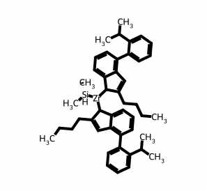 CCCCC1=Cc2c(-c3ccccc3C(C)C)cccc2[CH]1[Zr]([CH]1C(CCCC)=Cc2c(-c3ccccc3C(C)C)cccc21)[SiH](C)C